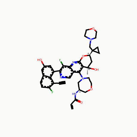 C#Cc1c(F)ccc2cc(O)cc(-c3ncc4c(N5CCOC[C@@H](NC(=O)C=C)C5)c5c(nc4c3F)O[C@@H](C3(CN4CCOCC4)CC3)C[C@@]5(C)O)c12